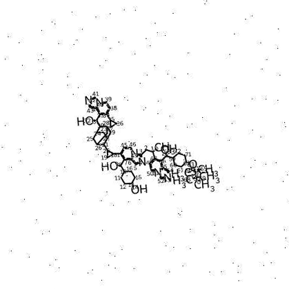 CC(Cc1ncc2c(C(O)C3CCC(O)CC3)c(C3CC3C3C4CC5CC3CC(C4)C5C(O)c3c(C4CC4)ccn4cncc34)ccn12)c1ccn2cncc2c1C(O)C1CCC(O[Si](C)(C)C(C)(C)C)CC1